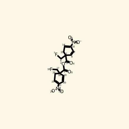 O=C(OC(=O)C1(CF)C=CC([N+](=O)[O-])=CC1)C1(CF)C=CC([N+](=O)[O-])=CC1